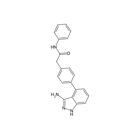 Nc1n[nH]c2cccc(-c3ccc(CC(=O)Nc4ccccc4)cc3)c12